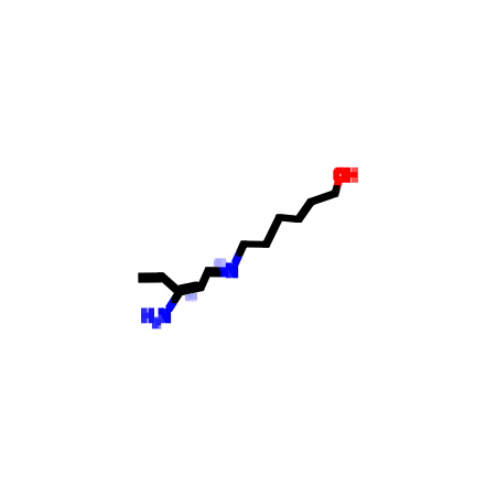 C=C/C(N)=C\C=N\CCCCCCO